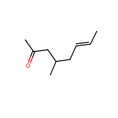 CC=CCC(C)CC(C)=O